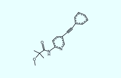 COC(C)(C)C(=O)Nc1ccc(C#Cc2ccccc2)cn1